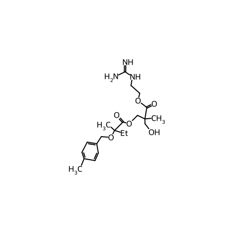 CCC(C)(OCc1ccc(C)cc1)C(=O)OCC(C)(CO)C(=O)OCCNC(=N)N